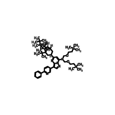 CC(C)(C)C12C[C@H](c3cc(N(COCC[Si](C)(C)C)COCC[Si](C)(C)C)n4ncc(-c5ccc(-c6ccccc6)nc5)c4n3)C[C@@H](CC1O[Si](C)(C)C(C)(C)C)N2C(=O)O